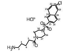 Cl.NCCCCC(=O)N1CCN(S(=O)(=O)c2ccc3cc(Cl)ccc3c2)CC1